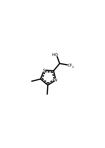 Cc1nc(C(O)C(F)(F)F)sc1C